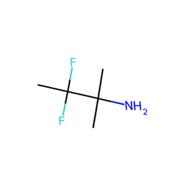 CC(C)(N)C(C)(F)F